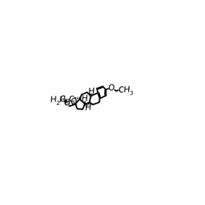 C=C=C[C@]1(O)CC[C@H]2[C@@H]3CCc4cc(OCC)ccc4[C@H]3CC[C@@]21CC